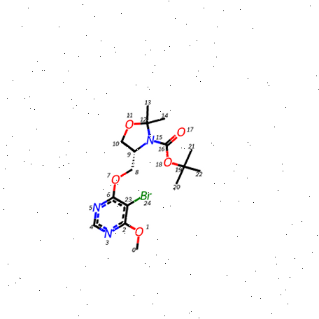 COc1ncnc(OC[C@@H]2COC(C)(C)N2C(=O)OC(C)(C)C)c1Br